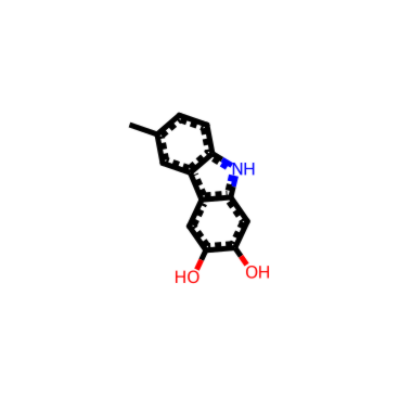 Cc1ccc2[nH]c3cc(O)c(O)cc3c2c1